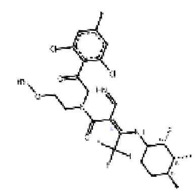 C[C@@H]1[C@@H](C)CCC(N/C(=C(\C=N)C(=O)N(CCOC(C)(C)C)CC(=O)c2c(Cl)cc(F)cc2Cl)C(F)(F)I)[C@@H]1C